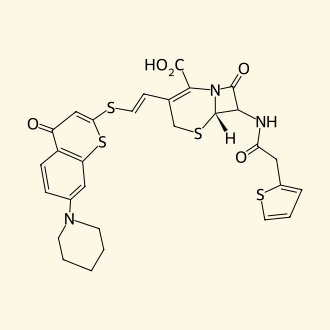 O=C(Cc1cccs1)NC1C(=O)N2C(C(=O)O)=C(C=CSc3cc(=O)c4ccc(N5CCCCC5)cc4s3)CS[C@@H]12